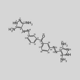 Nc1n[nH]c(N)c1/N=N/c1cccc(C(=O)c2cccc(/N=N/c3c(N)n[nH]c3N)c2)c1